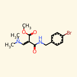 COC(=O)/C(=C\N(C)C)C(=O)NCc1ccc(Br)cc1